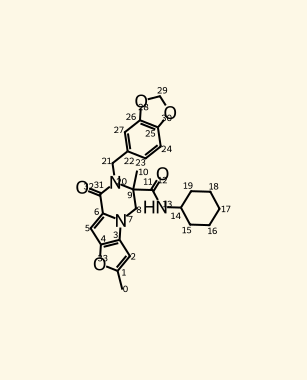 Cc1cc2c(cc3n2CC(C)(C(=O)NC2CCCCC2)N(Cc2ccc4c(c2)OCO4)C3=O)o1